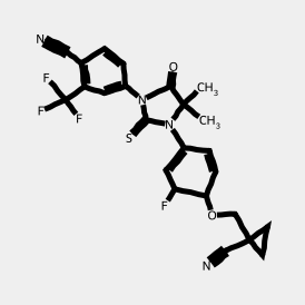 CC1(C)C(=O)N(c2ccc(C#N)c(C(F)(F)F)c2)C(=S)N1C1=CC(F)C(OCC2(C#N)CC2)C=C1